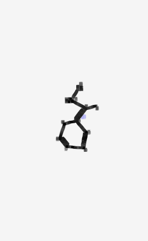 CCN/C(C)=C1/C=CC=CC1